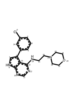 Clc1cccc(-c2c[nH]c3ncnc(NCCN4CCOCC4)c23)c1